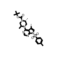 Cc1ccc(S(=O)(=O)n2cc(I)c3c(N4C[C@@H](C)N(C(=O)OC(C)(C)C)CC4C)ncnc32)cc1